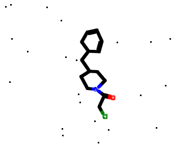 O=C(CCl)N1CCC(CC2C=CC=CC2)CC1